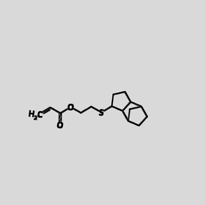 C=CC(=O)OCCSC1CCC2C3CCC(C3)C12